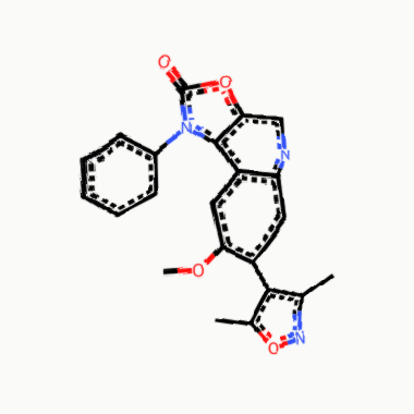 COc1cc2c(cc1-c1c(C)noc1C)ncc1oc(=O)n(-c3ccccc3)c12